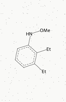 CCc1cccc(NOC)c1CC